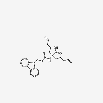 C=CCCCC(CCCC=C)(NC(=O)OCC1c2ccccc2-c2ccccc21)C(=O)O